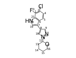 Fc1c(Cl)ccc2c(-c3cnn(C4CCCCO4)c3)c[nH]c12